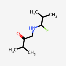 CC(C)C(=O)CNC(F)C(C)C